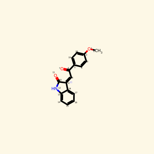 COc1ccc(C(=O)/C=C2\C(=O)Nc3ccccc32)cc1